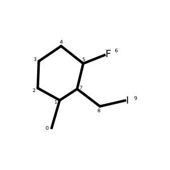 CC1CCCC(F)C1CI